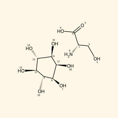 N[C@@H](CO)C(=O)O.O[C@H]1[C@H](O)[C@@H](O)[C@H](O)[C@@H](O)[C@H]1O